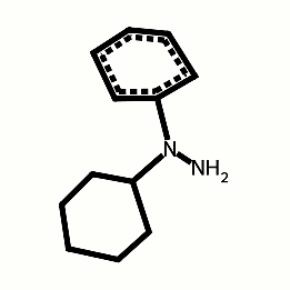 NN(c1ccccc1)C1CCCCC1